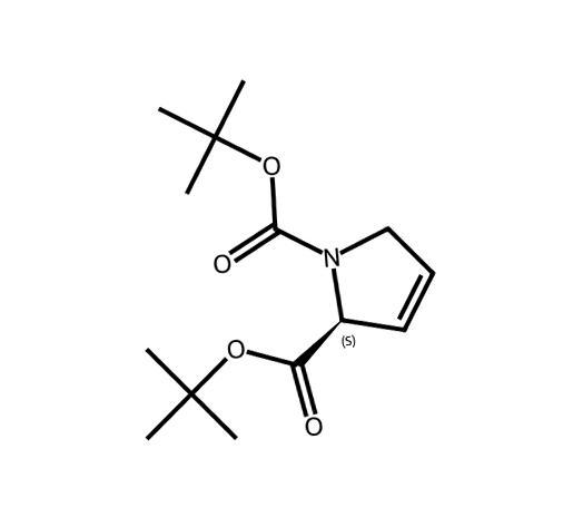 CC(C)(C)OC(=O)[C@@H]1C=CCN1C(=O)OC(C)(C)C